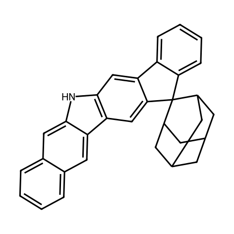 c1ccc2c(c1)-c1cc3[nH]c4cc5ccccc5cc4c3cc1C21C2CC3CC(C2)CC1C3